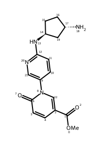 COC(=O)c1ccc(=O)n(-c2ccc(N[C@H]3CC[C@H](N)C3)nc2)c1